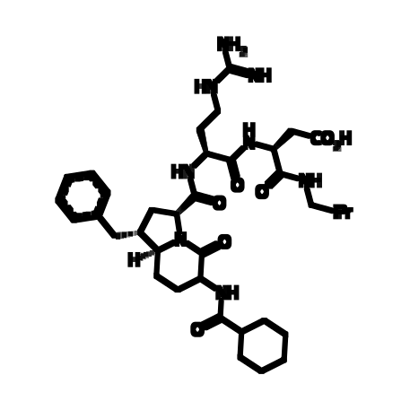 CC(C)CNC(=O)[C@H](CC(=O)O)NC(=O)[C@H](CCNC(=N)N)NC(=O)[C@@H]1C[C@@H](Cc2ccccc2)[C@@H]2CCC(NC(=O)C3CCCCC3)C(=O)N12